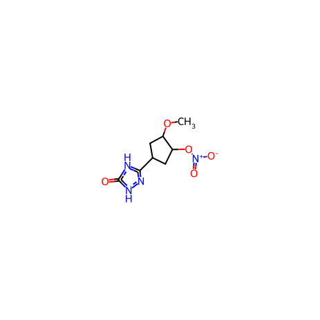 COC1CC(c2n[nH]c(=O)[nH]2)CC1O[N+](=O)[O-]